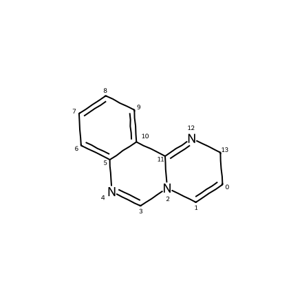 C1=CN2C=Nc3ccccc3C2=NC1